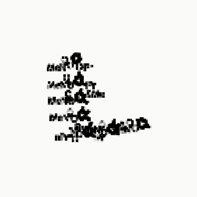 CCCC(=O)N(C)C(=O)Oc1cc(C)cc(C(C)C)c1.CNC(=O)Oc1cc(C)c(C)c(C)c1.CNC(=O)Oc1cc(C)c(N(C)C)c(C)c1.CNC(=O)Oc1cc(C)c(SC)c(C)c1.CNC(=O)Oc1cc(C)cc(C(C)C)c1.CNC(=O)Oc1cccc(C)c1.CNC(=O)Oc1ccccc1OC(C)C